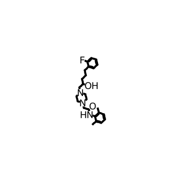 Cc1cccc(C)c1NC(=O)CN1CCN(CC(O)CCCc2ccccc2F)CC1